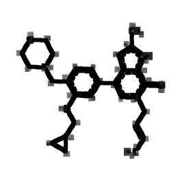 C/C=C/Cn1cc(-c2ccc(CN3CCOCC3)c(OCC3CC3)c2)c2cc(C)[nH]c2c1=O